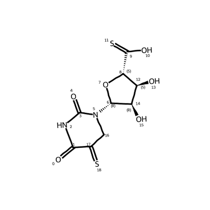 O=C1NC(=O)N([C@@H]2O[C@H](C(O)=S)[C@@H](O)[C@H]2O)CC1=S